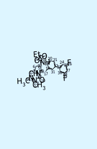 CCS(=O)(=O)N[C@H]1CCN(C(=O)N(C)N(C)C)[C@H]1Cc1cccc(-c2cc(F)cc(F)c2)c1